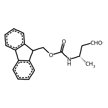 C[C@@H](C[C]=O)NC(=O)OCC1c2ccccc2-c2ccccc21